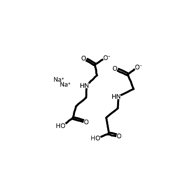 O=C([O-])CNCCC(=O)O.O=C([O-])CNCCC(=O)O.[Na+].[Na+]